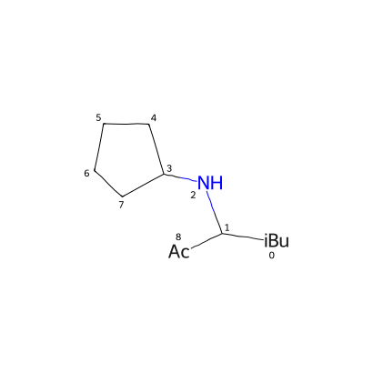 CCC(C)C(NC1CCCC1)C(C)=O